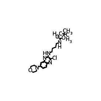 CC(C)(C)OC(=O)NCCCCNc1nc2cc(N3CCOCC3)ccc2nc1Cl